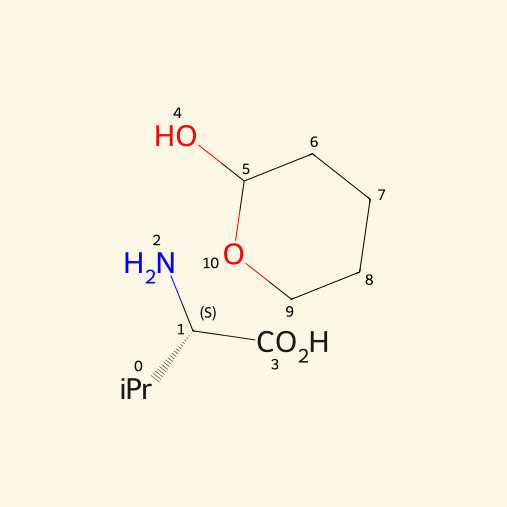 CC(C)[C@H](N)C(=O)O.OC1CCCCO1